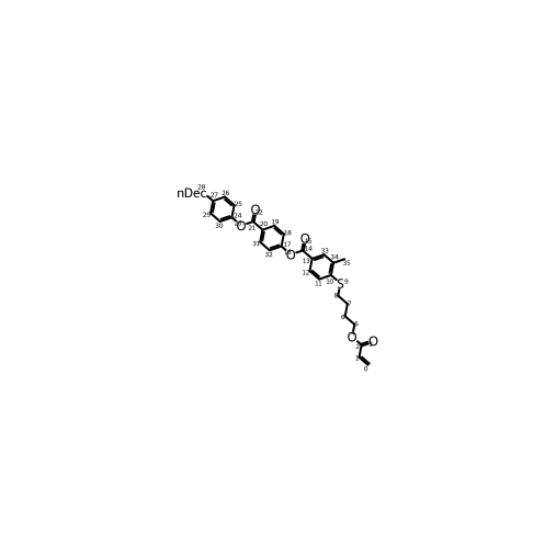 C=CC(=O)OCCCCSc1ccc(C(=O)Oc2ccc(C(=O)Oc3ccc(CCCCCCCCCC)cc3)cc2)cc1C